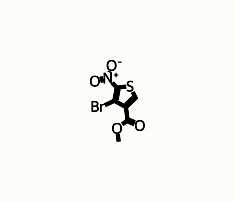 COC(=O)c1csc([N+](=O)[O-])c1Br